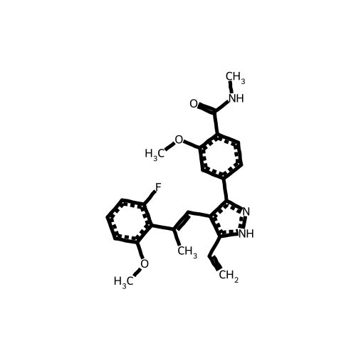 C=Cc1[nH]nc(-c2ccc(C(=O)NC)c(OC)c2)c1/C=C(\C)c1c(F)cccc1OC